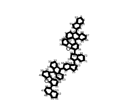 c1ccc2cc(-c3c4ccccc4c(-c4ccc(-c5ccc(-c6cccc7cc(-c8c9ccccc9c(-c9cccc%10oc%11c(-c%12cccc%13ccccc%12%13)cccc%11c9%10)c9ccccc89)ccc67)c6ccccc56)c5oc6ccccc6c45)c4ccccc34)ccc2c1